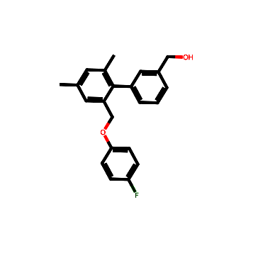 Cc1cc(C)c(-c2cccc(CO)c2)c(COc2ccc(F)cc2)c1